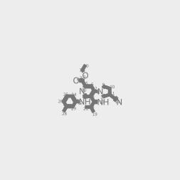 CCOC(=O)c1cc(N2CCC(C#N)C2)c(C(=N)C(C)C)c(Nc2cccc(C)c2)n1